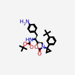 CC(C)(C)OC(=O)N[C@@H](Cc1ccc(N)cc1)[C@H]1CN(C2(c3cccc(C(C)(C)C)c3)CC2)C(=O)O1